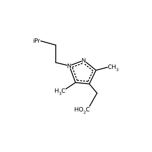 Cc1nn(CCC(C)C)c(C)c1CC(=O)O